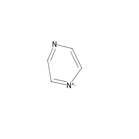 C1=C[N+]=CC=N1